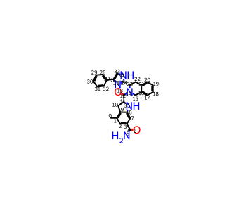 Cc1cc(C(N)=O)cc2c1C[C@@H](C(=O)N1Cc3ccccc3C[C@H]1c1nc(-c3ccccc3)c[nH]1)N2